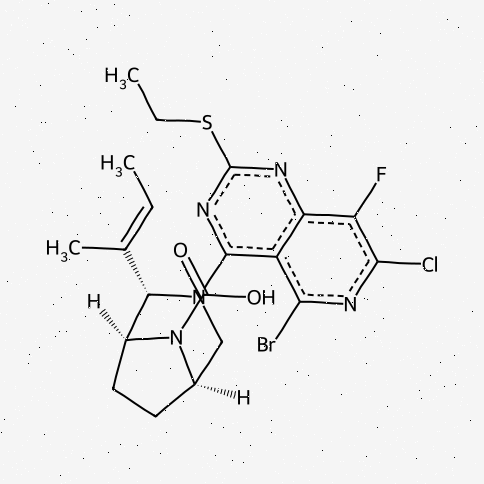 CC=C(C)[C@H]1[C@@H]2CC[C@H](CN1c1nc(SCC)nc3c(F)c(Cl)nc(Br)c13)N2C(=O)O